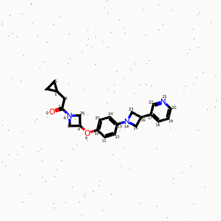 O=C(CC1CC1)N1CC(Oc2ccc(N3CC(c4cccnc4)C3)cc2)C1